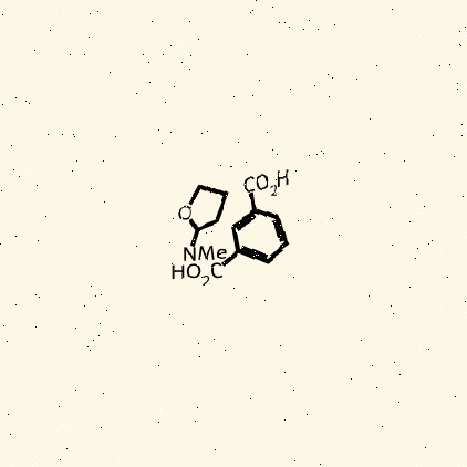 CNC1CCCO1.O=C(O)c1cccc(C(=O)O)c1